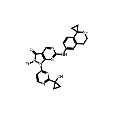 CCn1c(=O)c2cnc(Nc3ccc4c(c3)CCNC43CC3)nc2n1-c1ccnc(C2(C#N)CC2)n1